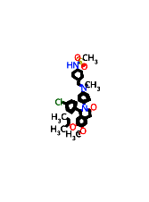 CCC(C)Oc1cc2c(cc1OC)CC(=O)N(c1ccc(N(C)CC3CCC(NS(C)(=O)=O)CC3)cc1)C2c1ccc(Cl)cc1